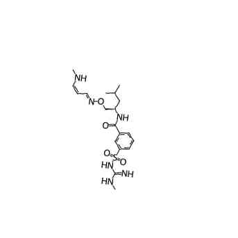 CN/C=C\C=NOC[C@@H](CC(C)C)NC(=O)c1cccc(S(=O)(=O)NC(=N)NC)c1